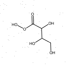 O=C(OO)C(O)C(O)CO